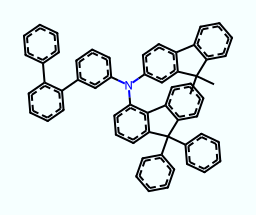 CC1(C)c2ccccc2-c2ccc(N(c3cccc(-c4ccccc4-c4ccccc4)c3)c3cccc4c3-c3ccccc3C4(c3ccccc3)c3ccccc3)cc21